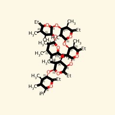 CCC1O[C@@H](C(C)C)C(C)[C@@H](C)[C@@H]1O[C@@H]1OC(CC)[C@H](O[C@H]2OC(CC)[C@H](C)[C@H](O[C@@H]3OC(CC)[C@H](C)[C@H](O[C@@H]4OC(CC)[C@H](C)[C@H](C)C4O[C@@H]4OC(C)C(C)[C@H](C)C4C)C3C)C2C)[C@H](C)C1C